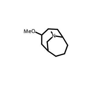 COC1CCC2CCCC(C1)CN2C